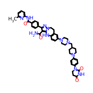 Cc1cccc(NC(=O)c2ccc(-c3nn4c(c3C(N)=O)Nc3ccc(N5CCN(CC6CCN(c7ccc(N8CCC(=O)NC8=O)cc7)CC6)CC5)cc3CC4)cc2)n1